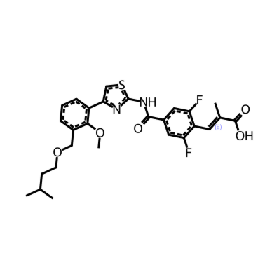 COc1c(COCCC(C)C)cccc1-c1csc(NC(=O)c2cc(F)c(/C=C(\C)C(=O)O)c(F)c2)n1